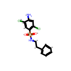 Nc1cc(Cl)c(S(=O)(=O)NCCc2ccccc2)cc1Cl